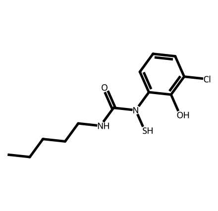 CCCCCNC(=O)N(S)c1cccc(Cl)c1O